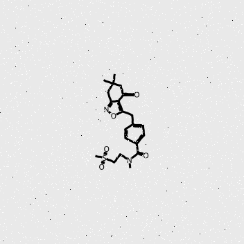 CN(CCS(C)(=O)=O)C(=O)c1ccc(Cc2onc3c2C(=O)CC(C)(C)C3)cc1